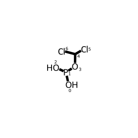 OP(O)OC(Cl)Cl